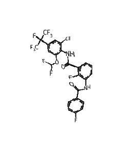 O=C(Nc1cccc(C(=O)Nc2c(Cl)cc(C(F)(C(F)(F)F)C(F)(F)F)cc2OC(F)F)c1F)c1ccc(F)cc1